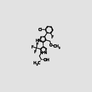 COCc1c(-c2c(F)cccc2Cl)c[nH]c1-c1cnn(C[C@@H](C)O)c1C(F)(F)F